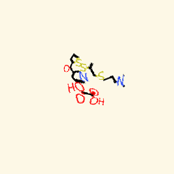 CC(CSCCCN(C)C)Sc1ncccc1C(=O)c1cccs1.O=C(O)C(=O)O